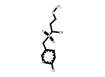 N#CC(CCSC(F)(F)F)S(=O)(=O)Cc1ccc(Cl)nc1